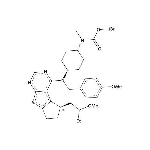 CCC(C[C@H]1CCc2sc3ncnc(N(Cc4ccc(OC)cc4)[C@H]4CC[C@H](N(C)C(=O)OC(C)(C)C)CC4)c3c21)OC